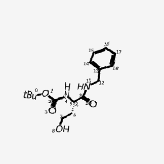 CC(C)(C)OC(=O)N[C@@H](CCO)C(=O)NCc1ccccc1